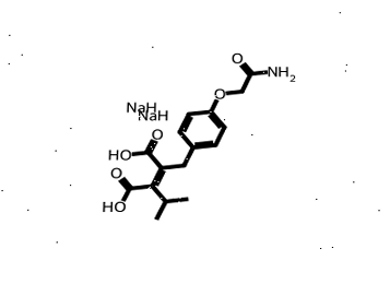 CC(C)/C(C(=O)O)=C(\Cc1ccc(OCC(N)=O)cc1)C(=O)O.[NaH].[NaH]